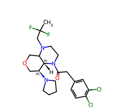 CC(F)(F)CN1CCN(C(=O)Cc2ccc(Cl)c(Cl)c2)[C@H]2C1COC[C@@H]2N1CCCC1